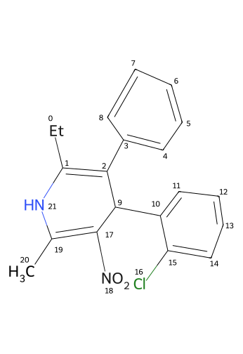 CCC1=C(c2ccccc2)C(c2ccccc2Cl)C([N+](=O)[O-])=C(C)N1